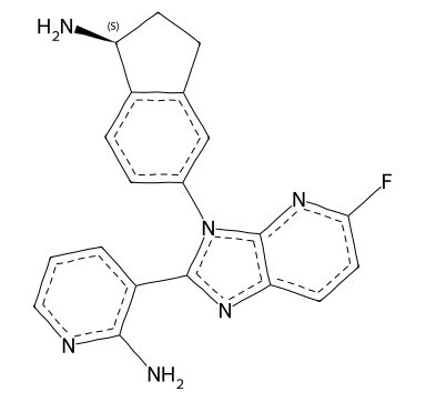 Nc1ncccc1-c1nc2ccc(F)nc2n1-c1ccc2c(c1)CC[C@@H]2N